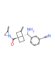 C=C1CN1C(=O)[C@]12CC[C@]1(C(N)c1cccc(C#N)c1)C(=C)C2